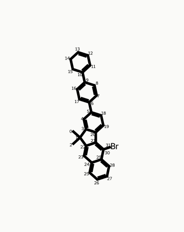 CC1(C)c2cc(-c3ccc(C4=CC=CCC4)cc3)ccc2-c2c1cc1ccccc1c2Br